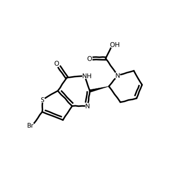 O=C(O)N1CC=CC[C@H]1c1nc2cc(Br)sc2c(=O)[nH]1